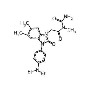 CCN(CC)c1ccc(-n2c(=O)n(CC(=O)N(C)C(N)=O)c3cc(C)c(C)cc32)cc1